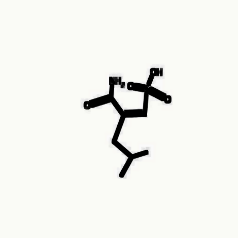 CC(C)CC(=CS(=O)(=O)O)C(N)=O